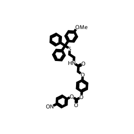 COc1ccc(C(SCCNC(=O)COc2ccc(OC(=O)Oc3ccc(N=O)cc3)cc2)(c2ccccc2)c2ccccc2)cc1